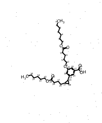 CCCCCCCOC(=O)CCCCOc1cc(C(=O)O)cc(C2CC2CCCC(=O)OCCCCCC)c1